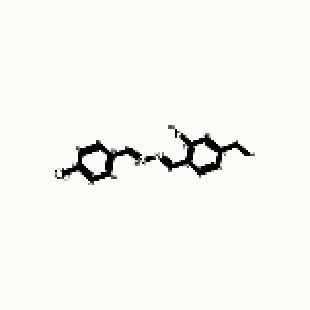 CCc1ccc(C=NN=Cc2ccc(Cl)cc2)c(F)c1